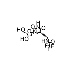 O=C(NCC#Cc1cn([C@H]2C[C@@H](O)C(CO)O2)c(=O)[nH]c1=O)C(F)(F)F